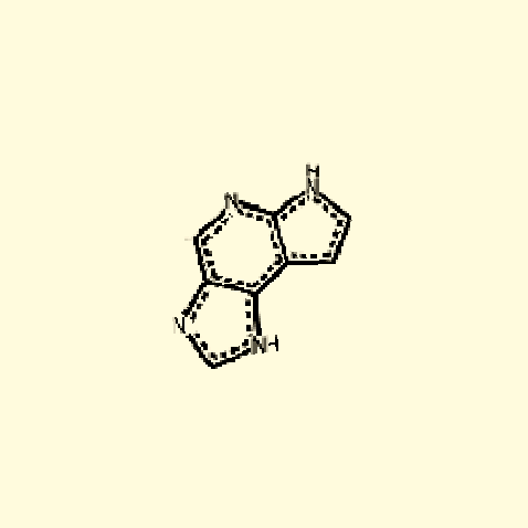 [c]1nc2[nH]ccc2c2[nH]cnc12